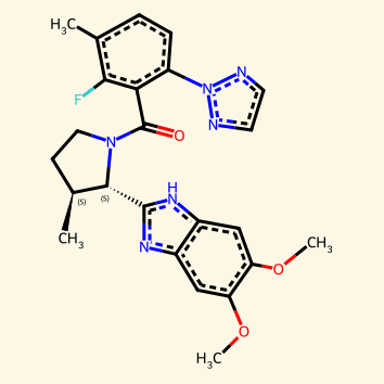 COc1cc2nc([C@@H]3[C@@H](C)CCN3C(=O)c3c(-n4nccn4)ccc(C)c3F)[nH]c2cc1OC